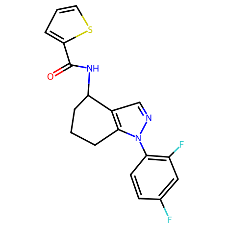 O=C(NC1CCCc2c1cnn2-c1ccc(F)cc1F)c1cccs1